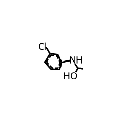 CC(O)Nc1cccc(Cl)c1